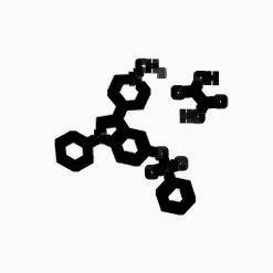 CN1CCC(c2cn(C3CCCCC3)c3ccc(OS(=O)(=O)c4ccccc4)cc23)CC1.O=C(O)C(=O)O